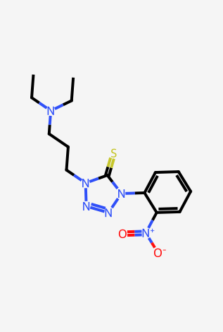 CCN(CC)CCCn1nnn(-c2ccccc2[N+](=O)[O-])c1=S